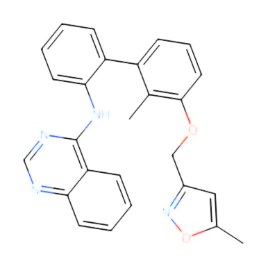 Cc1cc(COc2cccc(-c3ccccc3Nc3ncnc4ccc[c]c34)c2C)no1